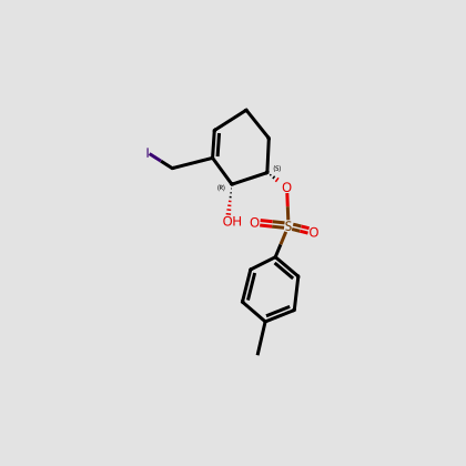 Cc1ccc(S(=O)(=O)O[C@H]2CCC=C(CI)[C@H]2O)cc1